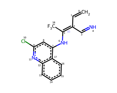 C=C/C(C=N)=C(/Nc1cc(Cl)nc2ccccc12)C(F)(F)F